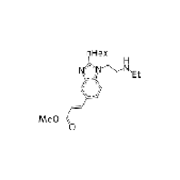 CCCCCCc1nc2cc(C=CC(=O)OC)ccc2n1CCNCC